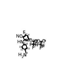 N#Cc1c(F)cccc1Nc1ccc(CN)cc1.O=C(O)C(F)(F)F.O=C(O)C(F)(F)F